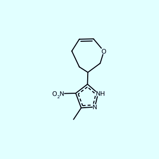 Cc1n[nH]c(C2CCC=COC2)c1[N+](=O)[O-]